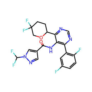 O=C(Nc1c(-c2cc(F)ccc2F)ncnc1C1CCC(F)(F)CO1)c1cnn(C(F)F)c1